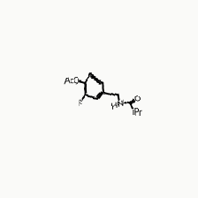 CC(=O)Oc1ccc(CNC(=O)C(C)C)cc1F